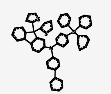 c1ccc(-c2ccc(N(c3ccc([Si](c4ccccc4)(c4ccccc4)c4ccccc4)cc3)c3ccc4c(c3)C(c3cccs3)(c3cccs3)c3ccccc3-4)cc2)cc1